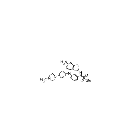 CN1CCN(c2ccc(N(c3cccc(NS(=O)(=O)C(C)(C)C)c3)c3nc(N)nc4c3CCCC4)cc2)CC1